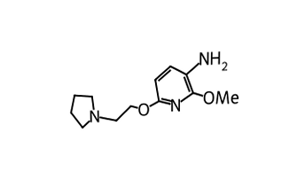 COc1nc(OCCN2CCCC2)ccc1N